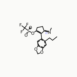 CCCc1cc2c(cc1C1=C(OS(=O)(=O)C(F)(F)F)CC/C1=N\C)OCO2